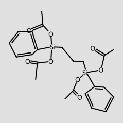 CC(=O)O[Si](CCC[Si](OC(C)=O)(OC(C)=O)c1ccccc1)(OC(C)=O)c1ccccc1